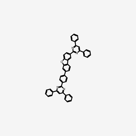 c1ccc(-c2cc(-c3ccccc3)nc(-c3ccc(-c4ccc5c(c4)oc4ccc(-c6nc(-c7ccccc7)cc(-c7ccccc7)n6)cc45)cc3)n2)cc1